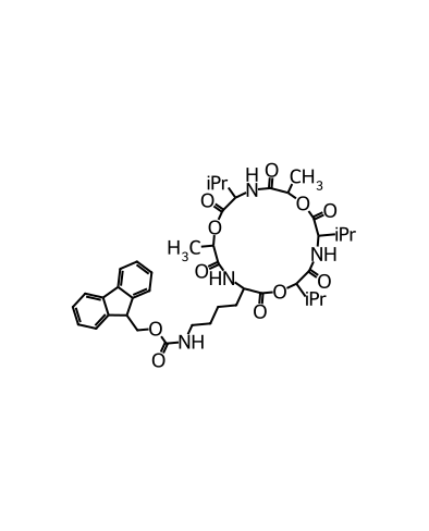 CC1OC(=O)C(C(C)C)NC(=O)C(C)OC(=O)C(C(C)C)NC(=O)C(C(C)C)OC(=O)C(CCCCNC(=O)OCC2c3ccccc3-c3ccccc32)NC1=O